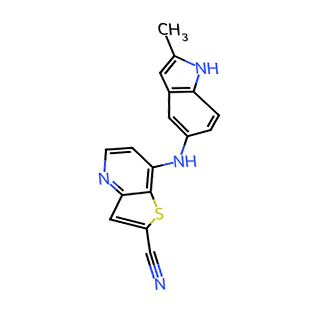 Cc1cc2cc(Nc3ccnc4cc(C#N)sc34)ccc2[nH]1